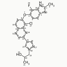 Cc1nc2ccc(Oc3ccc4ncc(-c5cnn(CC(C)O)c5)nc4c3Cl)c(F)c2[nH]1